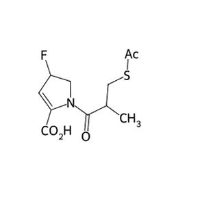 CC(=O)SCC(C)C(=O)N1CC(F)C=C1C(=O)O